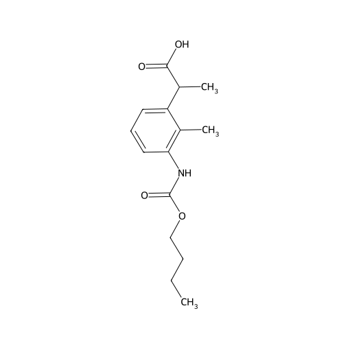 CCCCOC(=O)Nc1cccc(C(C)C(=O)O)c1C